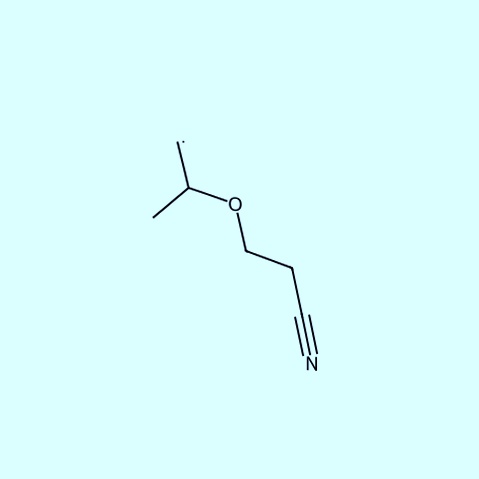 [CH2]C(C)OCCC#N